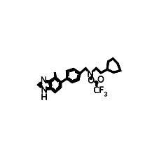 Cc1c(-c2ccc(CN(CCC3CCCCC3)OC(=O)C(F)(F)F)cc2)ccc2[nH]cnc12